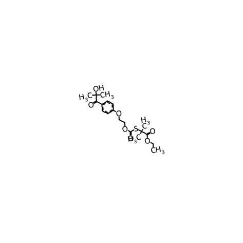 CCOC(=O)C(C)(C)SC(=O)OCCOc1ccc(C(=O)C(C)(C)O)cc1